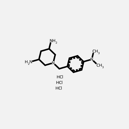 CN(C)c1ccc(CN2CC(N)CC(N)C2)cc1.Cl.Cl.Cl